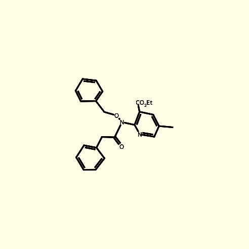 CCOC(=O)c1cc(C)cnc1N(OCc1ccccc1)C(=O)Cc1ccccc1